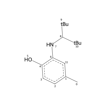 Cc1ccc(O)c(NC(C(C)(C)C)C(C)(C)C)c1